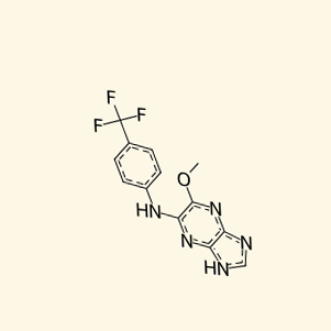 COc1nc2nc[nH]c2nc1Nc1ccc(C(F)(F)F)cc1